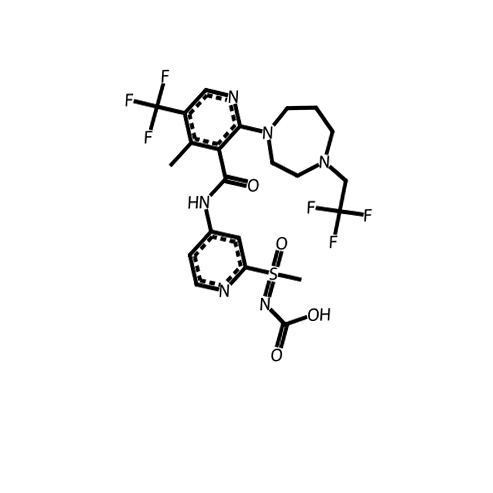 Cc1c(C(F)(F)F)cnc(N2CCCN(CC(F)(F)F)CC2)c1C(=O)Nc1ccnc(S(C)(=O)=NC(=O)O)c1